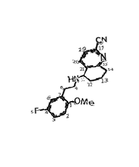 COc1ccc(F)cc1CCNC1CCCc2nc(C#N)ccc21